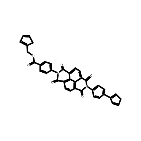 O=C(OCC1=CC=CC1)c1ccc(N2C(=O)c3ccc4c5c(ccc(c35)C2=O)C(=O)N(c2ccc(C3=CCC=C3)cc2)C4=O)cc1